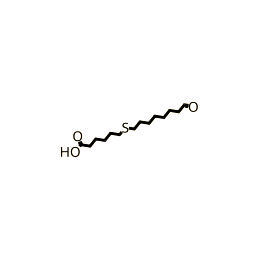 O=CCCCCCCCSCCCCCC(=O)O